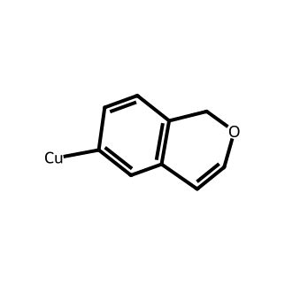 [Cu][c]1ccc2c(c1)C=COC2